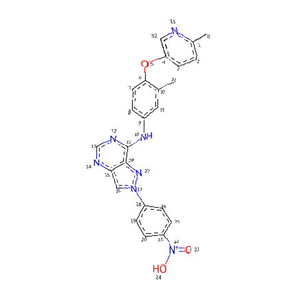 Cc1ccc(Oc2ccc(Nc3ncnc4cn(-c5ccc([N+](=O)O)cc5)nc34)cc2C)cn1